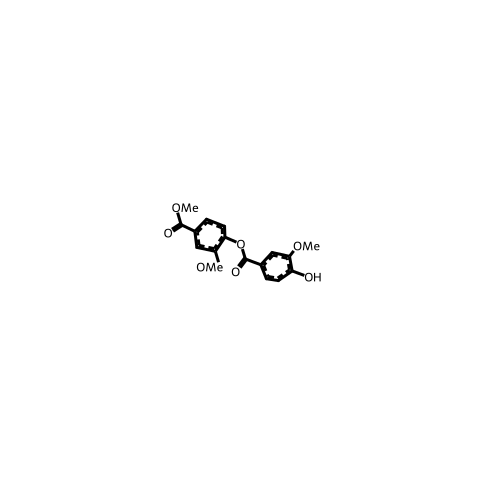 COC(=O)c1ccc(OC(=O)c2ccc(O)c(OC)c2)c(OC)c1